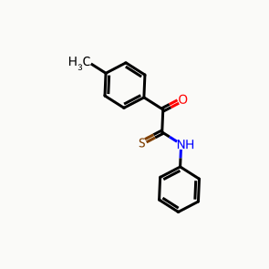 Cc1ccc(C(=O)C(=S)Nc2ccccc2)cc1